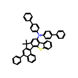 CC1(C)c2cc(-c3ccccc3)c3ccccc3c2-c2c1cc(N(c1ccc(-c3ccccc3)cc1)c1ccc(-c3ccccc3)cc1)c1c2sc2ccccc21